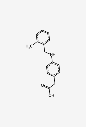 Cc1ccccc1CNc1ccc(CC(=O)O)cc1